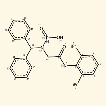 CC(C)c1cccc(C(C)C)c1NC(=O)CN(C(c1ccccc1)c1ccccc1)[PH](=O)O